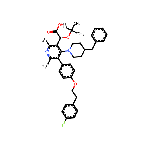 Cc1nc(C)c([C@H](OC(C)(C)C)C(=O)O)c(N2CCC(Cc3ccccc3)CC2)c1-c1ccc(OCCc2ccc(F)cc2)cc1